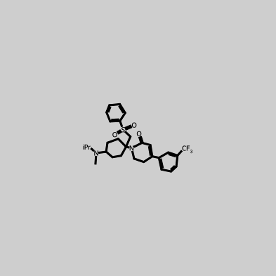 CC(C)N(C)C1CCC(CS(=O)(=O)c2ccccc2)(N2CCC(c3cccc(C(F)(F)F)c3)=CC2=O)CC1